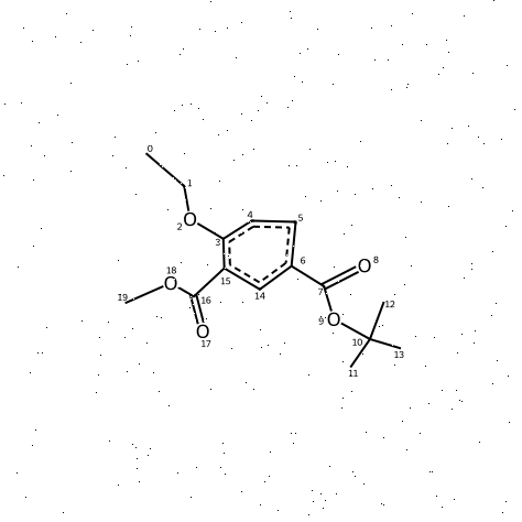 CCOc1ccc(C(=O)OC(C)(C)C)cc1C(=O)OC